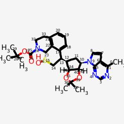 Cc1ncnc2c1ccn2[C@@H]1C[C@H](C(CSO)c2cccc3c2CN(C(=O)OC(C)(C)C)CC3)[C@H]2OC(C)(C)O[C@H]21